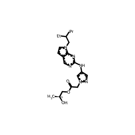 CCC(Cn1ccc2cnc(Nc3cnn(CC(=O)OC[C@H](C)O)c3)nc21)C(C)C